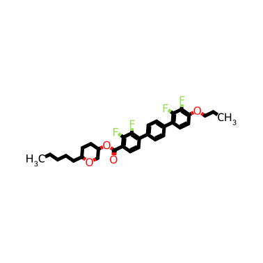 CCCCCC1CCC(OC(=O)c2ccc(-c3ccc(-c4ccc(OCCC)c(F)c4F)cc3)c(F)c2F)CO1